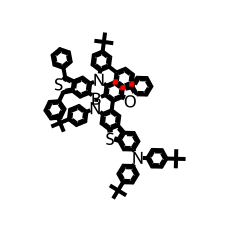 CC(C)(C)c1ccc(N2B3c4cc5c(-c6ccccc6)sc(-c6ccccc6)c5cc4N(c4ccc(C(C)(C)C)cc4-c4ccccc4)c4cc5c(oc6ccccc65)c(c43)-c3cc4c(cc32)sc2cc(N(c3ccc(C(C)(C)C)cc3)c3ccc(C(C)(C)C)cc3)ccc24)cc1